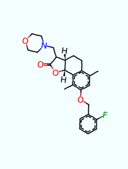 Cc1cc(OCc2ccccc2F)c(C)c2c1CC[C@H]1C(CN3CCOCC3)C(=O)O[C@@H]21